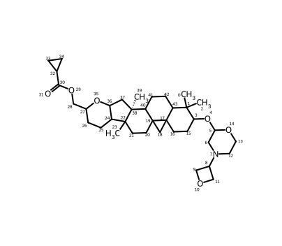 CC1(C)C(OC2CN(C3COC3)CCO2)CCC23CC24CCC2(C)C5CCC(COC(=O)C6CC6)OC5C[C@@]2(C)C4CCC13